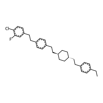 CCc1ccc(CC[C@H]2CC[C@H](CCc3ccc(CCc4ccc(Cl)c(F)c4)cc3)CC2)cc1